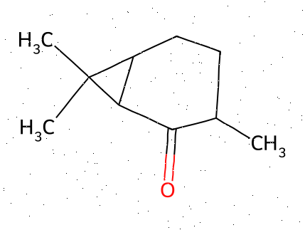 CC1CCC2C(C1=O)C2(C)C